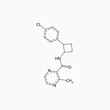 Cc1nccnc1C(=O)NC1CCC1c1ccc(Cl)cc1